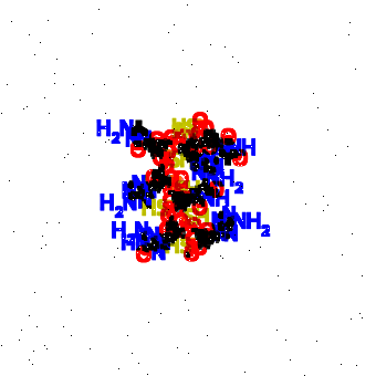 COP(=O)(S)O[C@@H]1C[C@H](n2cnc3c(N)ncnc32)O[C@@H]1COP(=O)(S)O[C@@H]1C[C@H](n2cnc3c(=O)[nH]c(N)nc32)O[C@@H]1COP(=O)(S)O[C@@H]1C[C@H](n2cc(C)c(=O)[nH]c2=O)O[C@@H]1COP(=O)(S)O[C@@H]1C[C@H](n2cnc3c(N)ncnc32)O[C@@H]1COP(=O)(S)O[C@@H]1C[C@H](n2cc(C)c(N)nc2=O)O[C@@H]1COP(=O)(S)O[C@@H]1C[C@H](n2cnc3c(N)ncnc32)O[C@@H]1COP(=O)(S)O[C@@H]1C[C@H](n2cc(C)c(=O)[nH]c2=O)O[C@@H]1C